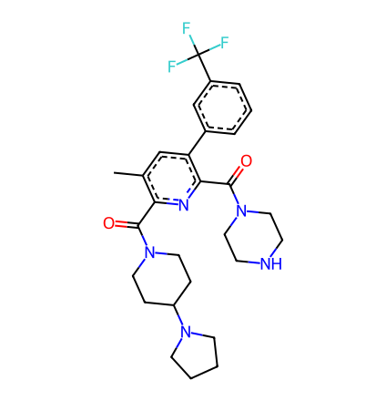 Cc1cc(-c2cccc(C(F)(F)F)c2)c(C(=O)N2CCNCC2)nc1C(=O)N1CCC(N2CCCC2)CC1